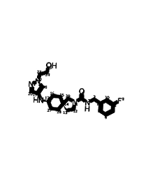 O=C(NCc1cccc(F)c1)N1CC[C@]2(CC[C@H](Nc3cnn(CCO)c3)CC2)C1